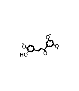 COc1cc(OC)cc(C(=O)C=Cc2ccc(OC)c(O)c2)c1